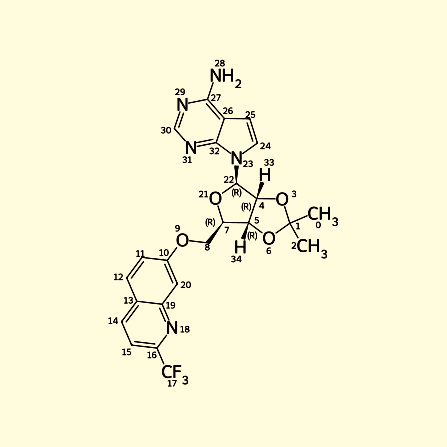 CC1(C)O[C@@H]2[C@H](O1)[C@@H](COc1ccc3ccc(C(F)(F)F)nc3c1)O[C@H]2n1ccc2c(N)ncnc21